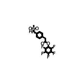 CS(=O)(=O)Nc1ccc(CC(=O)Oc2c(F)c(F)c(F)c(F)c2F)cc1